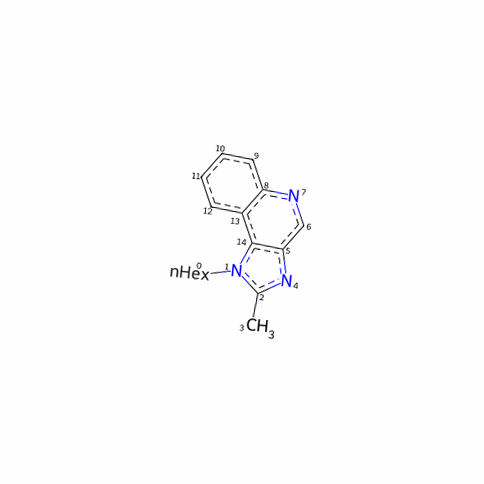 CCCCCCn1c(C)nc2cnc3ccccc3c21